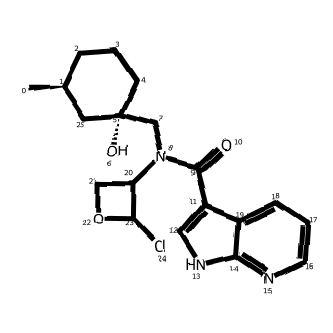 C[C@H]1CCC[C@@](O)(CN(C(=O)c2c[nH]c3ncccc23)C2COC2Cl)C1